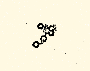 O=C(c1cccc2c1C(S(=O)(=O)c1ccccc1)CS2(=O)=O)C1CCN(Cc2ccccc2)CC1